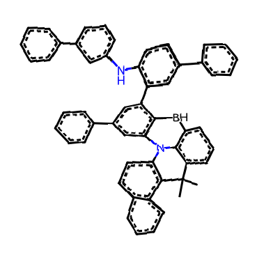 CC1(C)c2cccc3c2N(c2cc(-c4ccccc4)cc(-c4cc(-c5ccccc5)ccc4Nc4cccc(-c5ccccc5)c4)c2B3)c2ccc3ccccc3c21